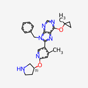 Cc1cc(O[C@H]2CCNC2)ncc1-c1nc2c(OC3(C)CC3)ncnc2n1Cc1ccccc1